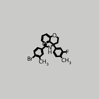 Cc1ccc([C@@]2(NC(=O)c3ccc(Br)c(C)c3)CCOc3cccnc32)cc1F